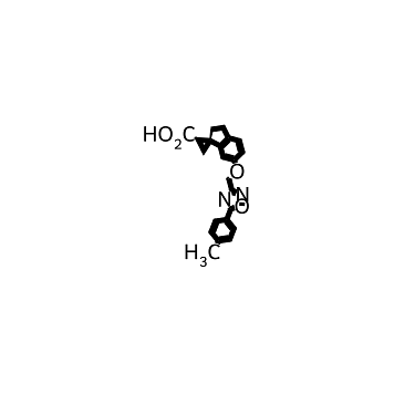 Cc1ccc(-c2nc(COc3ccc4c(c3)[C@]3(CC4)C[C@H]3C(=O)O)no2)cc1